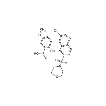 COc1ccc(Nc2c(S(=O)(=O)N3CCOCC3)cnc3ccc(Cl)cc23)c(C(=O)O)c1